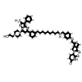 Cc1nn2c(N3CCN(CCO)CC3)cc(-c3cccc(CCCCCCCCCNCc4ccc(OCc5scc6c5CN(C5CCC(=O)NC5=O)C6=O)cc4)c3)nc2c1-c1ccccc1